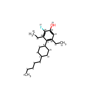 CCCCCC1CCC(c2c(CC)cc(O)c(F)c2CC)CC1